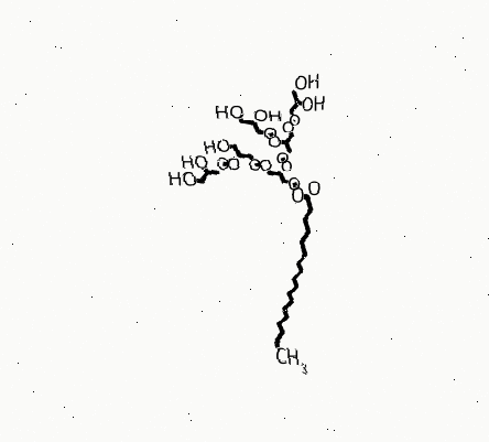 CCCCCCCCCCCCCCCCCC(=O)OOCC(COOCC(CO)OOCC(O)CO)OOCC(COOCC(O)CO)OOCC(O)CO